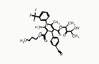 CCCCOC(=O)C1=C(N)N(c2cccc(C(F)(F)F)c2)C(C)=C(C(=O)O[C@@H](C)C(=O)C(C)O)C1c1ccc(C#N)cc1